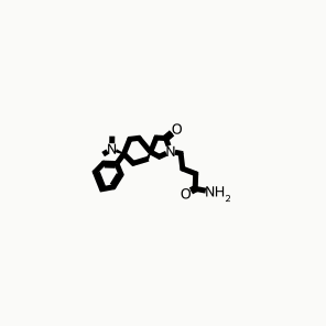 CN(C)[C@]1(c2ccccc2)CC[C@@]2(CC1)CC(=O)N(CCCC(N)=O)C2